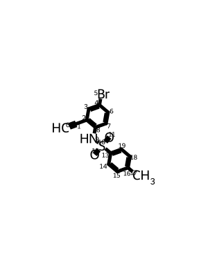 C#Cc1cc(Br)ccc1NS(=O)(=O)c1ccc(C)cc1